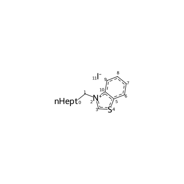 CCCCCCCC[n+]1csc2ccccc21.[I-]